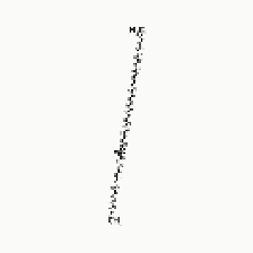 CCCCCCCCC=CCCCCCCCCCC(=O)OCCCCCCCCCCCCCCCCCCCCCCCCCCCCCCCCCCC